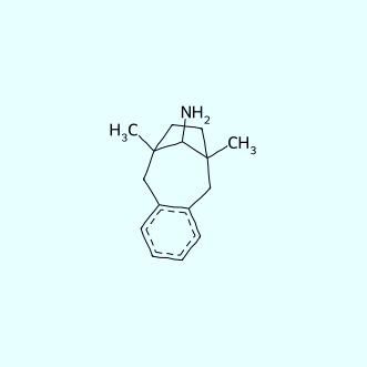 CC12CCC(C)(Cc3ccccc3C1)C2N